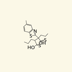 CCCC(C(O)=S)C(CCC)(C(O)=S)c1nc2cc(C)ccc2s1